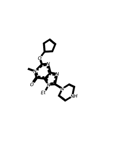 CCn1c(N2CCNCC2)nc2nc(OC3CCCC3)n(C)c(=O)c21